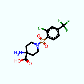 NC1(C(=O)O)CCN(S(=O)(=O)c2ccc(C(F)(F)F)cc2Cl)CC1